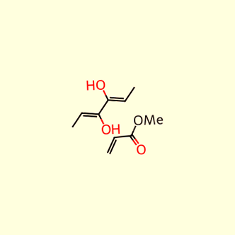 C=CC(=O)OC.CC=C(O)C(O)=CC